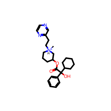 C[N@+]1(CCc2cnccn2)CCCC(OC(=O)C(O)(c2ccccc2)C2CCCCC2)C1